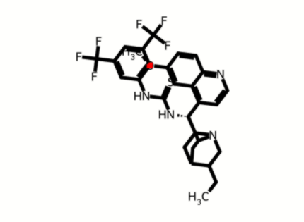 CCC1CN2CCC1CC2[C@H](NC(=S)Nc1cc(C(F)(F)F)cc(C(F)(F)F)c1)c1ccnc2ccc(OC)cc12